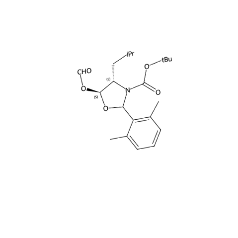 Cc1cccc(C)c1C1O[C@@H](OC=O)[C@H](CC(C)C)N1C(=O)OC(C)(C)C